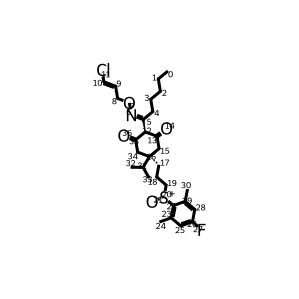 CCCCCC(=NOCC=CCl)[C@H]1C(=O)C[C@@](CCC[S+]([O-])c2c(C)cc(F)cc2C)(C(C)C)CC1=O